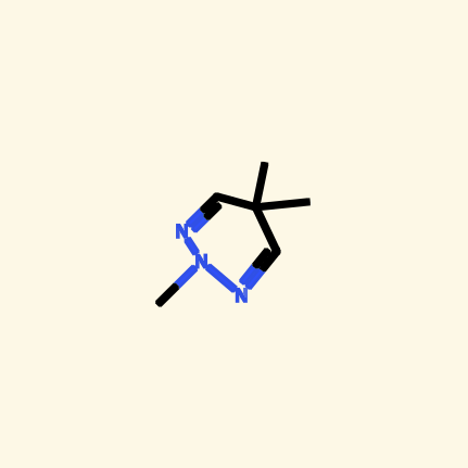 CN1N=CC(C)(C)C=N1